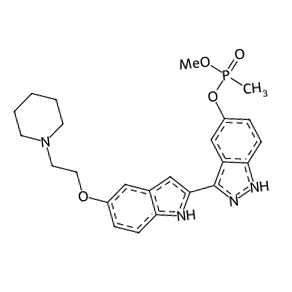 COP(C)(=O)Oc1ccc2[nH]nc(-c3cc4cc(OCCN5CCCCC5)ccc4[nH]3)c2c1